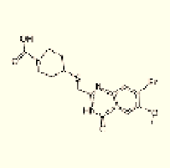 COc1cc2c(=O)[nH]c(CSC3CCN(C(=O)O)CC3)nc2cc1Br